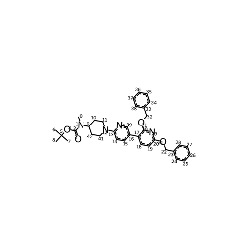 CN(C(=O)OC(C)(C)C)C1CCN(c2ccc(-c3ccc(OCc4ccccc4)nc3OCc3ccccc3)cn2)CC1